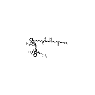 CCCCN1/C(=C/C=C/C=C/C2=[N+](CCCCCC(=O)NCCCNCCCCNCCCN)c3ccccc3C2(C)C)C(C)(C)c2ccccc21